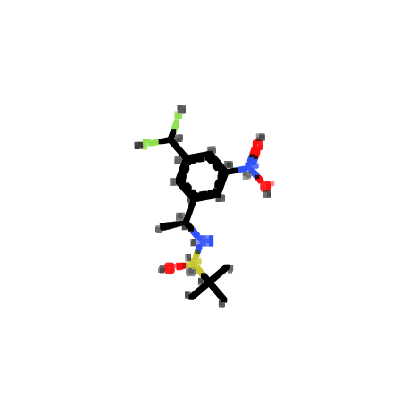 C[C@H](N[S@+]([O-])C(C)(C)C)c1cc(C(F)F)cc([N+](=O)[O-])c1